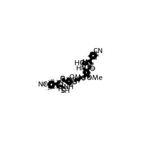 COc1cc2c(cc1OCCCOc1cc3c(cc1OC)C(=O)N1C=C(c4ccc(C#N)cc4)C[C@H]1C(S)N3)NC(O)[C@@H]1CC(c3ccc(C#N)cc3)=CN1C2=O